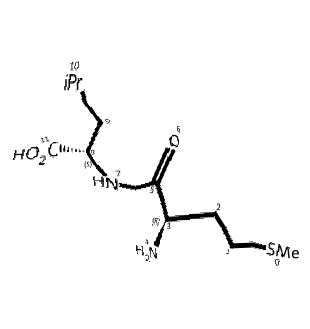 CSCC[C@@H](N)C(=O)N[C@@H](CC(C)C)C(=O)O